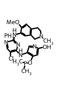 COc1cc2c(cc1Nc1ncc(Cl)c(Nc3cnc(O)cc3OP(C)C)n1)CN(C)CC2.P